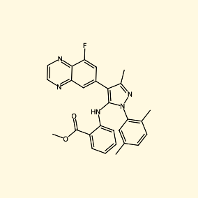 COC(=O)c1ccccc1Nc1c(-c2cc(F)c3nccnc3c2)c(C)nn1-c1cc(C)ccc1C